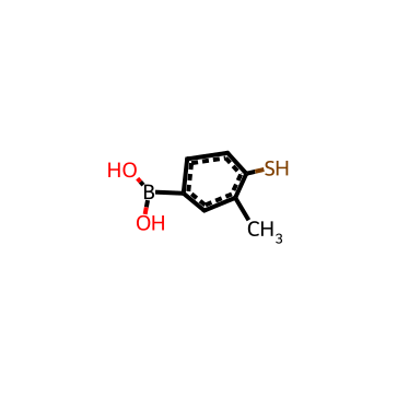 Cc1cc(B(O)O)ccc1S